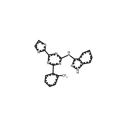 FC(F)(F)c1ccccc1-c1nc(Nc2n[nH]c3ccccc23)nc(-c2nccs2)n1